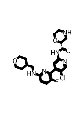 O=C(Nc1cc(-c2nc(NCC3CCOCC3)ccc2F)c(Cl)cn1)[C@H]1CNCCO1